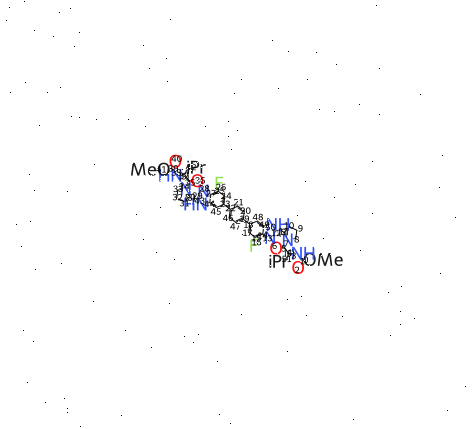 COC(=O)N[C@H](C(=O)N1CCC[C@H]1c1nc2c(F)cc(-c3ccc(-c4cc(F)c5nc([C@@H]6CCCN6C(=O)[C@@H](NC(=O)OC)C(C)C)[nH]c5c4)cc3)cc2[nH]1)C(C)C